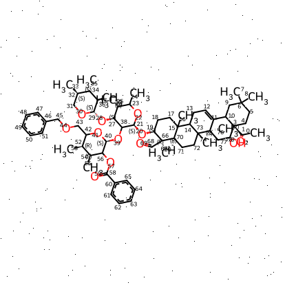 CC(=O)[C@]12CCC(C)(C)CC1C1=CCC3C4(C)CC[C@H](O[C@@H]5OC(C)[C@@H](C)[C@H](O[C@@H]6OC[C@@H](C)[C@H](C)C6C)C5O[C@@H]5OC(COCc6ccccc6)[C@H](C)[C@H](C)C5OC(=O)c5ccccc5)[C@](C)(C=O)[C@@H]4CCC3(C)[C@]1(C)CC2O